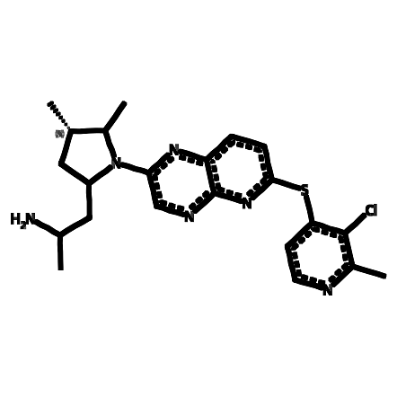 Cc1nccc(Sc2ccc3nc(N4C(CC(C)N)C[C@H](C)C4C)cnc3n2)c1Cl